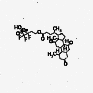 C[C@@H]1CC(=O)CC2CC(=O)[C@@H]3[C@H](CC(=O)[C@]4(C)[C@@H]([C@H](C)CCC(=O)OCCC(F)(F)C(F)(F)S(=O)(=O)O)CC[C@@H]34)C21